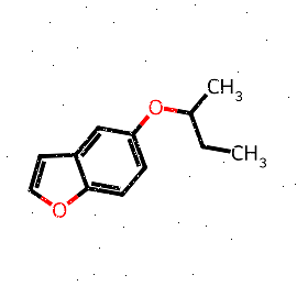 CCC(C)Oc1ccc2occc2c1